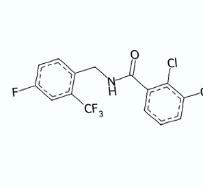 O=C(NCc1ccc(F)cc1C(F)(F)F)c1cccc(Cl)c1Cl